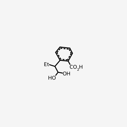 CCC(c1ccccc1C(=O)O)C(O)O